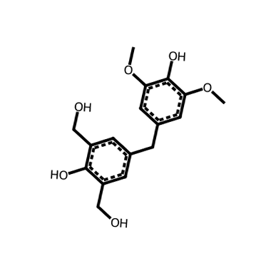 COc1cc(Cc2cc(CO)c(O)c(CO)c2)cc(OC)c1O